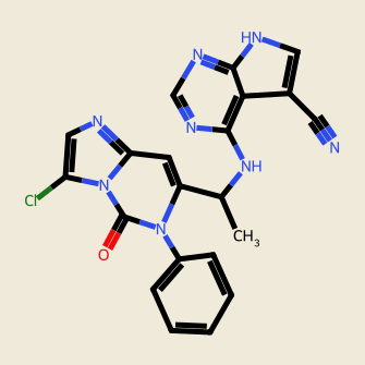 CC(Nc1ncnc2[nH]cc(C#N)c12)c1cc2ncc(Cl)n2c(=O)n1-c1ccccc1